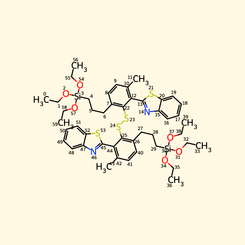 CCO[Si](CCCc1ccc(C)c(-c2nc3ccccc3s2)c1SSc1c(CCC[Si](OCC)(OCC)OCC)ccc(C)c1-c1nc2ccccc2s1)(OCC)OCC